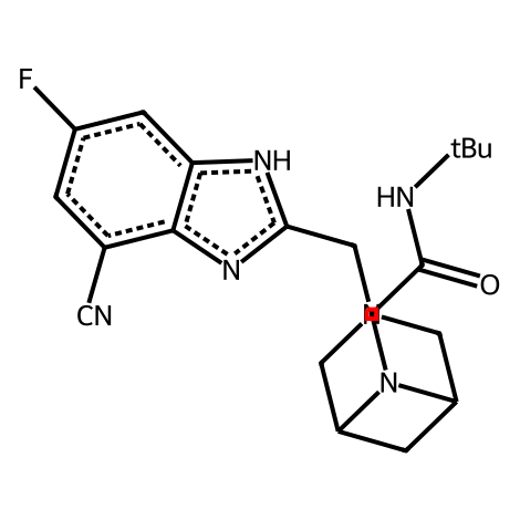 CC(C)(C)NC(=O)CN1C2CC1CN(Cc1nc3c(C#N)cc(F)cc3[nH]1)C2